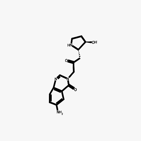 Nc1ccc2ncn(CC(=O)C[C@@H]3NCC[C@H]3O)c(=O)c2c1